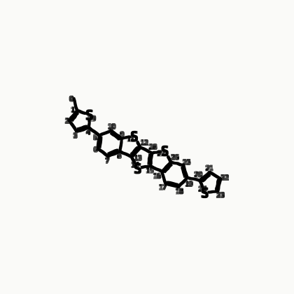 Cc1ccc(-c2ccc3c(c2)sc2c3sc3c4ccc(-c5cccs5)cc4sc32)s1